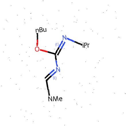 CCCCOC(/N=C/NC)=N/C(C)C